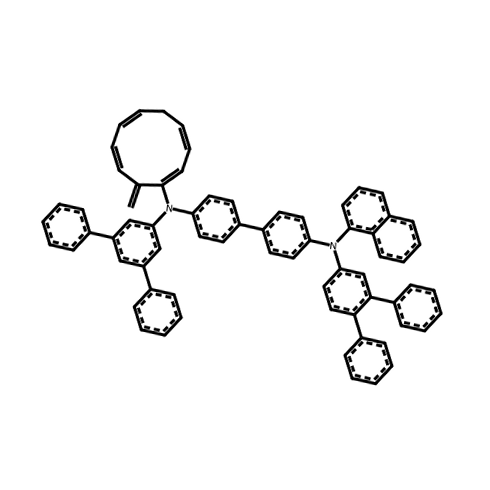 C=C1/C=C\C=C/C/C=C\C=C/1N(c1ccc(-c2ccc(N(c3ccc(-c4ccccc4)c(-c4ccccc4)c3)c3cccc4ccccc34)cc2)cc1)c1cc(-c2ccccc2)cc(-c2ccccc2)c1